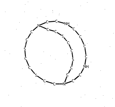 C1CCNCCN2CCSCCSCCN(CCNC1)CCSCCSCC2